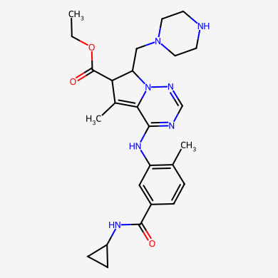 CCOC(=O)C1C(C)=C2C(Nc3cc(C(=O)NC4CC4)ccc3C)=NC=NN2C1CN1CCNCC1